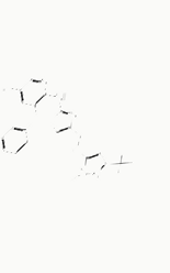 Cn1nc(C(F)(F)F)cc1OCc1csc(Nc2ncc(Br)cc2Oc2ccccc2)n1